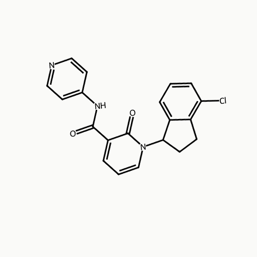 O=C(Nc1ccncc1)c1cccn(C2CCc3c(Cl)cccc32)c1=O